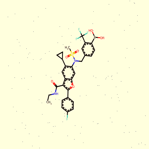 CCNC(=O)c1c(-c2ccc(F)cc2)oc2cc(N(Cc3ccc(B(O)O)c(C(F)(F)F)c3)S(C)(=O)=O)c(C3CC3)cc12